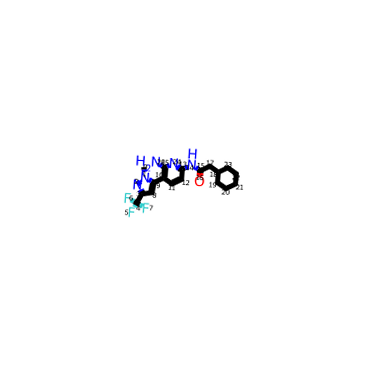 Cn1nc(C(F)(F)F)cc1-c1ccc(NC(=O)CC2CCCCC2)nc1N